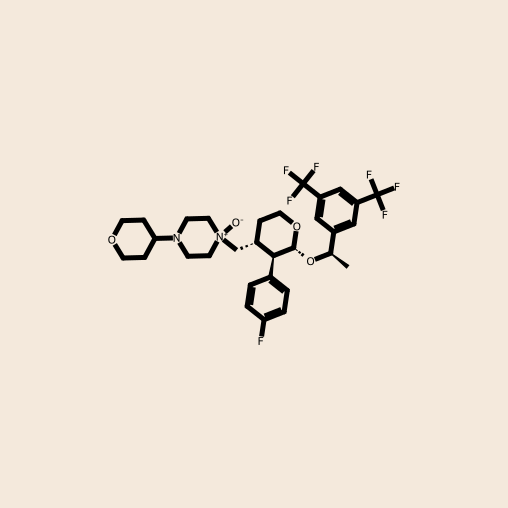 C[C@@H](O[C@H]1OCC[C@@H](C[N+]2([O-])CCN(C3CCOCC3)CC2)[C@@H]1c1ccc(F)cc1)c1cc(C(F)(F)F)cc(C(F)(F)F)c1